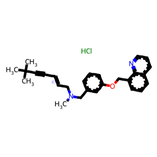 CN(C/C=C/C#CC(C)(C)C)Cc1cccc(OCc2cccc3cccnc23)c1.Cl